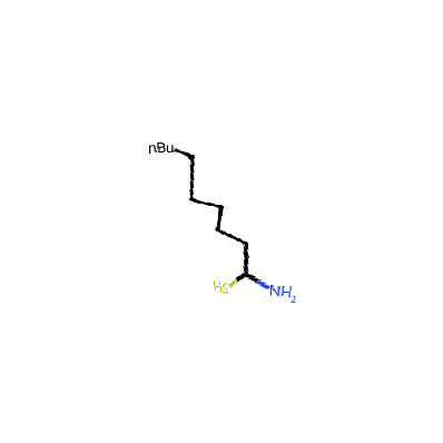 CCCCCCCCCC(N)S